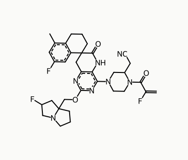 C=C(F)C(=O)N1CCN(c2nc(OCC34CCCN3CC(F)C4)nc3c2NC(=O)C2(CCCc4c(C)cc(F)cc42)C3)CC1CC#N